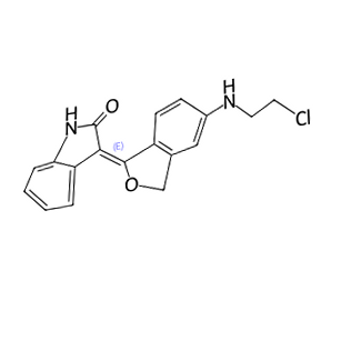 O=C1Nc2ccccc2/C1=C1\OCc2cc(NCCCl)ccc21